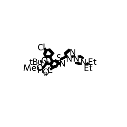 CCC(CC)N1CCN(c2nccc(-c3nc4cc(C)c([C@H](OC(C)(C)C)C(=O)OC)c(-c5ccc(Cl)cc5)c4s3)n2)CC1